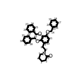 O=C1CCCCN1CCc1ccc(OCc2ccccc2)c(OCc2ccccc2)c1OCc1ccccc1